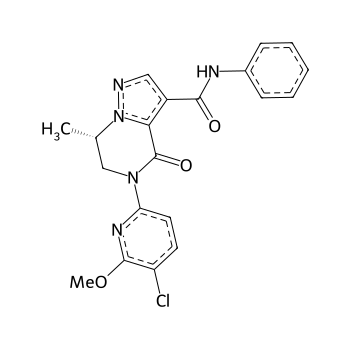 COc1nc(N2C[C@H](C)n3ncc(C(=O)Nc4ccccc4)c3C2=O)ccc1Cl